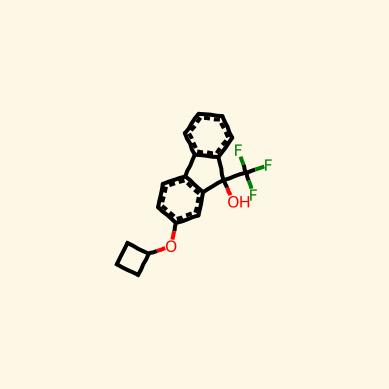 OC1(C(F)(F)F)c2ccccc2-c2ccc(OC3CCC3)cc21